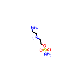 NCCNCCOS(N)(=O)=O